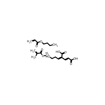 C=C(C)C(=O)OC.C=CC(=O)OCCCC.O=C(O)C=CC(=CCCO)C(=O)O